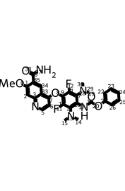 COc1cc2nccc(Oc3c(F)c(N(C)C)c(NC(=O)Oc4ccccc4)c(N(C)C)c3F)c2cc1C(N)=O